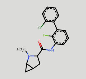 O=C(Nc1cccc(-c2ccccc2Cl)c1F)C1CC2CC2N1C(=O)O